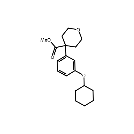 COC(=O)C1(c2cccc(OC3CCCCC3)c2)CCOCC1